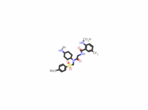 CSc1ccc(S(=O)(=O)CN(C(=O)CNC(=O)c2cc(C(F)(F)F)ccc2NC(=O)O)C2CCC(NC(C)C)CC2)cc1